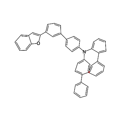 c1ccc(-c2ccc(N(c3ccc(-c4cccc(-c5cc6ccccc6o5)c4)cc3)c3ccccc3-c3ccccc3)cc2)cc1